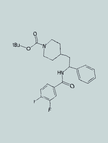 CC(C)(C)OC(=O)N1CCC(CC(NC(=O)c2ccc(I)c(F)c2)c2ccccc2)CC1